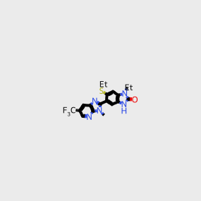 CCSc1cc2c(cc1-c1nc3cc(C(F)(F)F)cnc3n1C)[nH]c(=O)n2CC